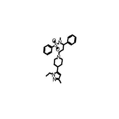 CCn1nc(C)cc1C1CCN(CCC(c2ccccc2)N(C)S(=O)(=O)c2ccccc2)CC1